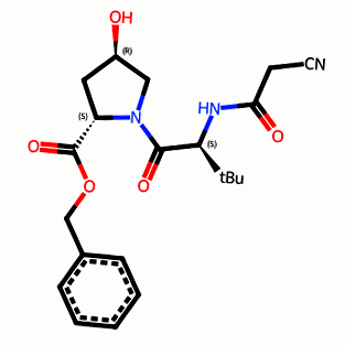 CC(C)(C)[C@H](NC(=O)CC#N)C(=O)N1C[C@H](O)C[C@H]1C(=O)OCc1ccccc1